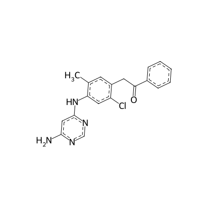 Cc1cc(CC(=O)c2ccccc2)c(Cl)cc1Nc1cc(N)ncn1